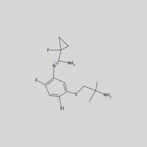 CCc1cc(F)c(/N=C(\N)C2(F)CC2)cc1SCC(C)(C)N